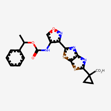 CC(OC(=O)Nc1conc1-c1nc2nc(C3(C(=O)O)CC3)sc2s1)c1ccccc1